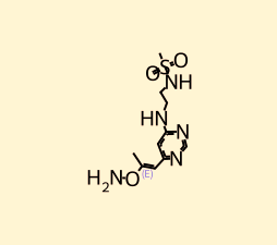 C/C(=C\c1cc(NCCNS(C)(=O)=O)ncn1)ON